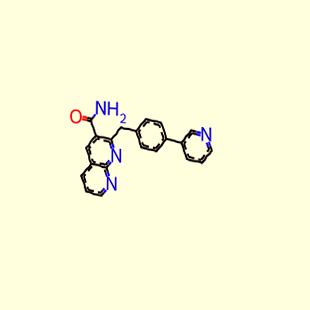 NC(=O)c1cc2cccnc2nc1Cc1ccc(-c2cccnc2)cc1